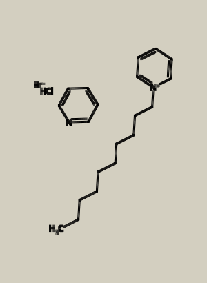 CCCCCCCCCC[n+]1ccccc1.Cl.[Br-].c1ccncc1